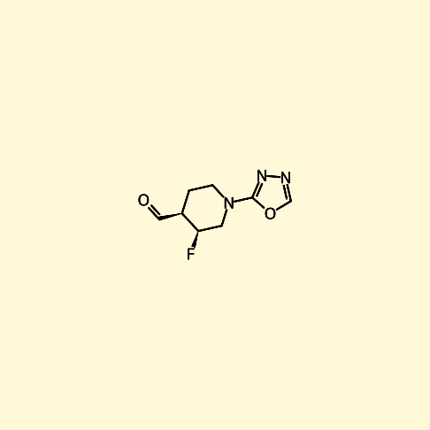 O=C[C@H]1CCN(c2nnco2)C[C@H]1F